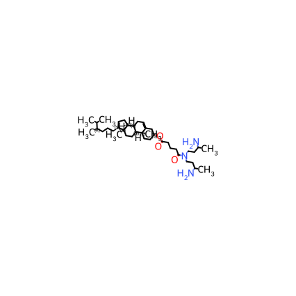 CC(N)CCN(CCC(C)N)C(=O)CCCC(=O)O[C@H]1CC[C@@]2(C)C(=CC[C@H]3[C@@H]4CC[C@H](CCC[C@@H](C)C(C)C)[C@@]4(C)CC[C@@H]32)C1